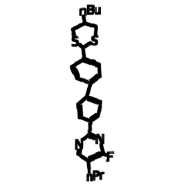 CCCCC1CSC(c2ccc(-c3ccc(-c4ncc(CCC)c(F)n4)cc3)cc2)SC1